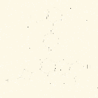 COc1cc2nc(C3CC(C)C3)nc(N3CCN(c4ccccc4OC)CC3)c2cc1OC